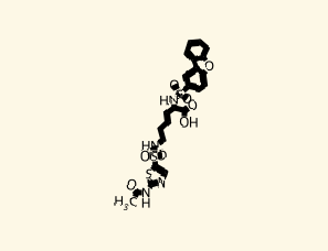 CC(=O)Nc1ncc(S(=O)(=O)NCCCCC(NS(=O)(=O)c2ccc3oc4ccccc4c3c2)C(=O)O)s1